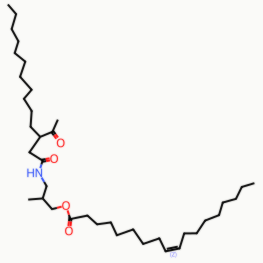 CCCCCCCC/C=C\CCCCCCCC(=O)OCC(C)CNC(=O)CC(CCCCCCCCCCC)C(C)=O